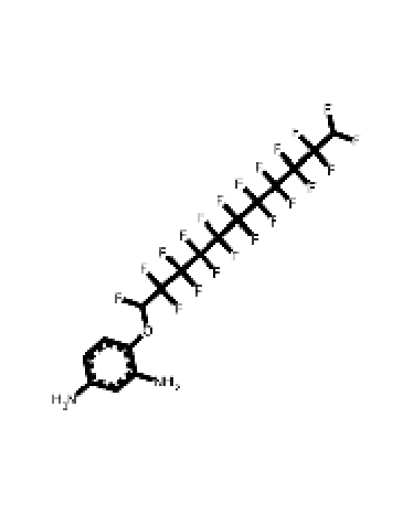 Nc1ccc(OC(F)C(F)(F)C(F)(F)C(F)(F)C(F)(F)C(F)(F)C(F)(F)C(F)(F)C(F)(F)C(F)(F)C(F)F)c(N)c1